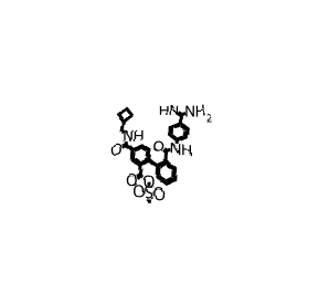 CS(=O)(=O)OC(=O)c1cc(C(=O)NCC2CCC2)ccc1-c1ccccc1C(=O)Nc1ccc(C(=N)N)cc1